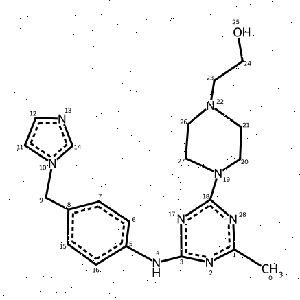 Cc1nc(Nc2ccc(Cn3ccnc3)cc2)nc(N2CCN(CCO)CC2)n1